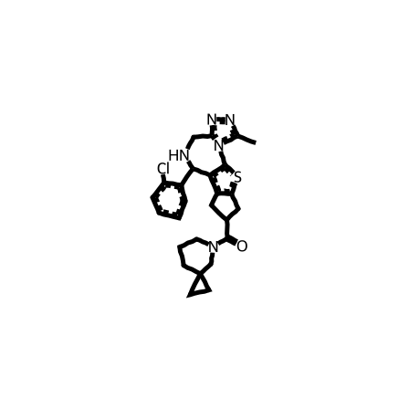 Cc1nnc2n1-c1sc3c(c1C(c1ccccc1Cl)NC2)CC(C(=O)N1CCCC2(CC2)C1)C3